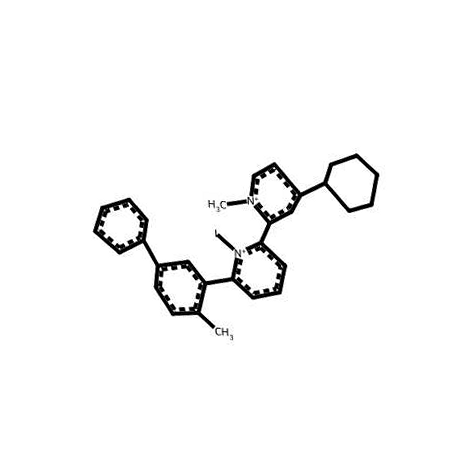 Cc1ccc(-c2ccccc2)cc1-c1cccc(-c2cc(C3CCCCC3)cc[n+]2C)[n+]1I